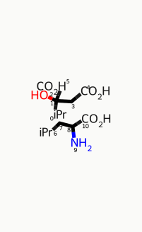 CC(C)C(O)(CC(=O)O)C(=O)O.CC(C)CC(N)C(=O)O